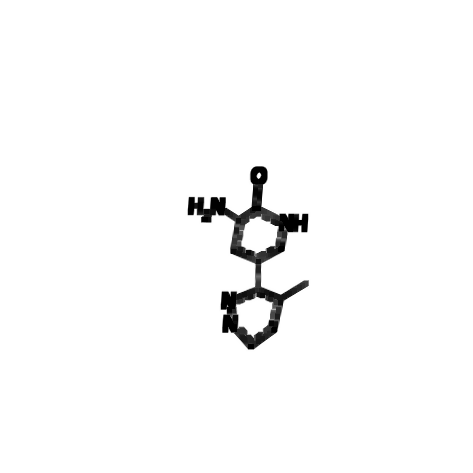 Cc1ccnnc1-c1c[nH]c(=O)c(N)c1